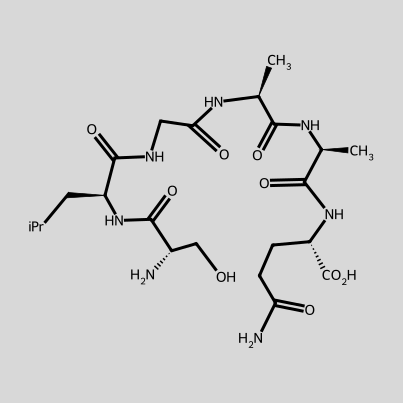 CC(C)C[C@H](NC(=O)[C@@H](N)CO)C(=O)NCC(=O)N[C@@H](C)C(=O)N[C@@H](C)C(=O)N[C@@H](CCC(N)=O)C(=O)O